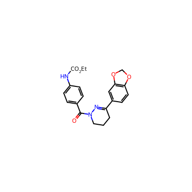 CCOC(=O)Nc1ccc(C(=O)N2CCCC(c3ccc4c(c3)OCO4)=N2)cc1